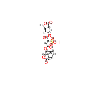 CC1OC(=O)C2CC(OC(=O)C(CC(=O)OC3C4OC(=O)C5CC6C3C6C54)S(=O)(=O)O)CC12